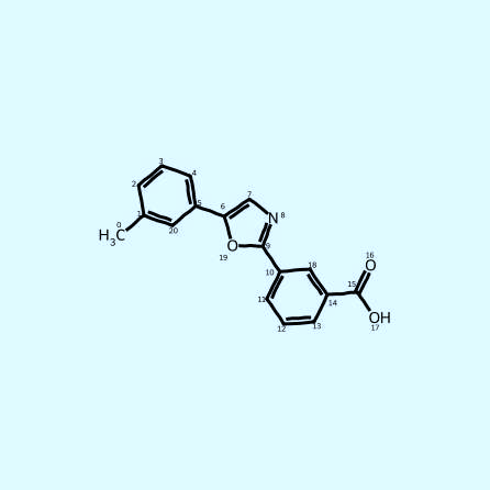 Cc1cccc(-c2cnc(-c3cccc(C(=O)O)c3)o2)c1